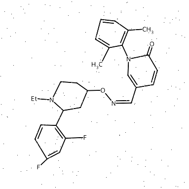 CCN1CCC(O/N=C\c2ccc(=O)n(-c3c(C)cccc3C)c2)CC1c1ccc(F)cc1F